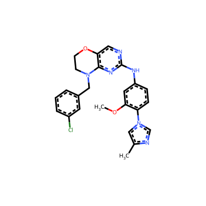 COc1cc(Nc2ncc3c(n2)N(Cc2cccc(Cl)c2)CCO3)ccc1-n1cnc(C)c1